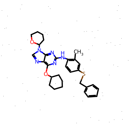 Cc1cc(SCc2ccccc2)ccc1Nc1nc(OC2CCCCC2)c2ncn(C3CCCCO3)c2n1